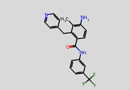 Cc1c(N)ccc(C(=O)Nc2cccc(C(F)(F)F)c2)c1Cc1ccncc1